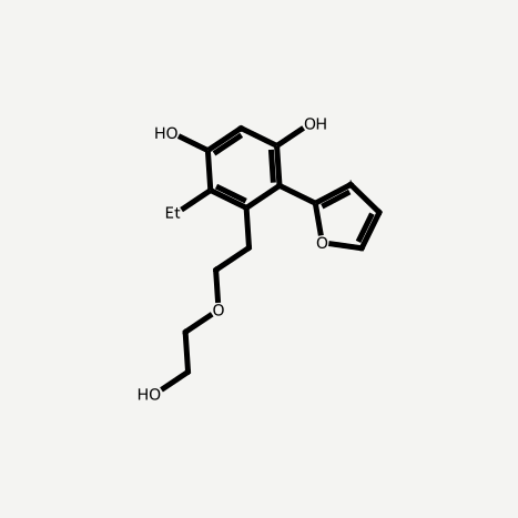 CCc1c(O)cc(O)c(-c2[c]cco2)c1CCOCCO